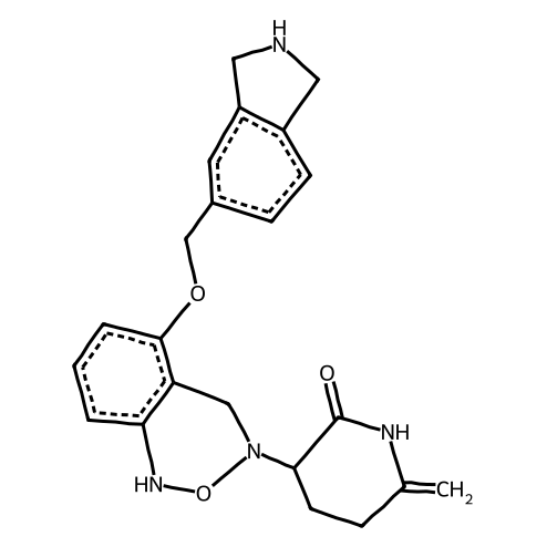 C=C1CCC(N2Cc3c(cccc3OCc3ccc4c(c3)CNC4)NO2)C(=O)N1